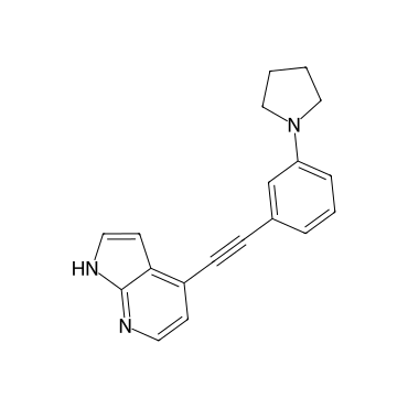 C(#Cc1ccnc2[nH]ccc12)c1cccc(N2CCCC2)c1